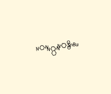 CCCCS(=O)(=O)c1ccc(N=Nc2ccc(N=Nc3ccc(N(C)C)cc3)c3ccccc23)cc1